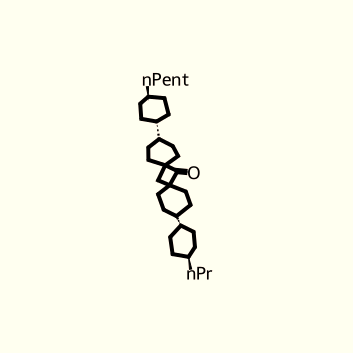 CCCCC[C@H]1CC[C@H](C2CCC3(CC2)CC2(CCC([C@H]4CC[C@H](CCC)CC4)CC2)C3=O)CC1